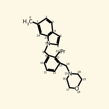 Cc1ccc2ccn(Cc3cccc(CN4CCOCC4)c3C(C)C)c2c1